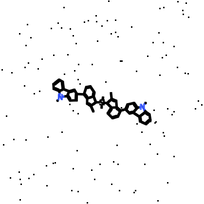 CC1=Cc2c(-c3ccc4c(c3)c3ccccc3n4C)cccc2C1[Si](C)(C)C1C(C)=Cc2c(-c3ccc4c(c3)c3ccccc3n4C)cccc21